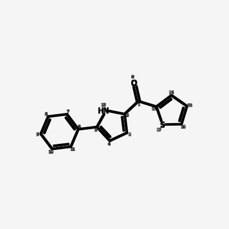 O=C(c1ccc(-c2ccccc2)[nH]1)c1cccs1